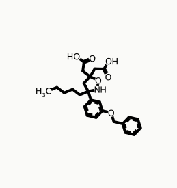 CCCCCC1(c2cccc(OCc3ccccc3)c2)CC(CC(=O)O)(CC(=O)O)ON1